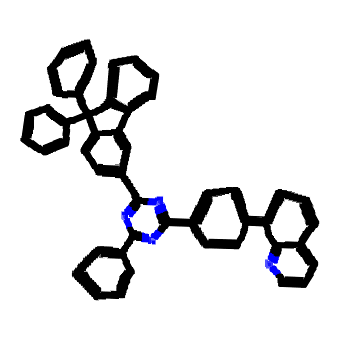 c1ccc(-c2nc(-c3ccc(-c4cccc5cccnc45)cc3)nc(-c3ccc4c(c3)-c3ccccc3C4(c3ccccc3)c3ccccc3)n2)cc1